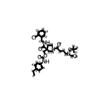 CCc1ccc(NC(=O)OCC2(C(=O)NCc3ccccc3Cl)CCN(C(=O)CCCN(C=O)OC(C)(C)C)CC2)cc1